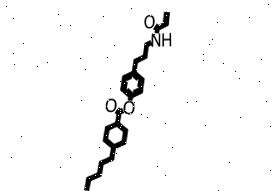 C=CC(=O)NCCCc1ccc(OC(=O)C2CCC(CCCCC)CC2)cc1